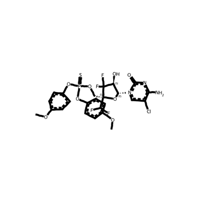 COc1ccc(OP(=S)(OC[C@@]2(C(F)F)O[C@@H](n3cc(Cl)c(N)nc3=O)[C@H](O)C2(F)F)Oc2ccc(OC)cc2)cc1